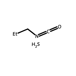 CCCN=C=O.S